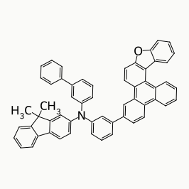 CC1(C)c2ccccc2-c2ccc(N(c3cccc(-c4ccccc4)c3)c3cccc(-c4ccc5c6ccccc6c6c(ccc7oc8ccccc8c76)c5c4)c3)cc21